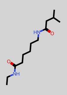 CCNC(=O)CCCCCNC(=O)CC(C)C